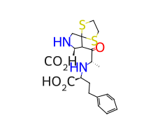 C[C@H](N[C@@H](CCc1ccccc1)C(=O)O)C(=O)C1[C@@H](C(=O)O)NCC12SCCS2